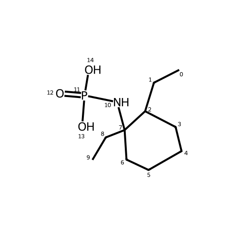 CCC1CCCCC1(CC)NP(=O)(O)O